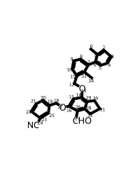 Cc1ccccc1-c1cccc(COc2cc(OCc3cccc(C#N)c3)c(C=O)c3c2CCC3)c1C